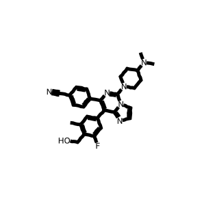 Cc1cc(-c2c(-c3ccc(C#N)cc3)nc(N3CCC(N(C)C)CC3)n3ccnc23)cc(F)c1CO